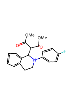 COC(=O)C(C(=O)OC)C1c2ccccc2CCN1c1ccc(F)cc1